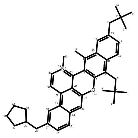 Cc1c2c(c(CC(C)(C)C)c3ccc(CC(C)(C)C)cc13)Oc1cc3ccc(CC4CCCC4)cc3c3cc[n+](C)c-2c13